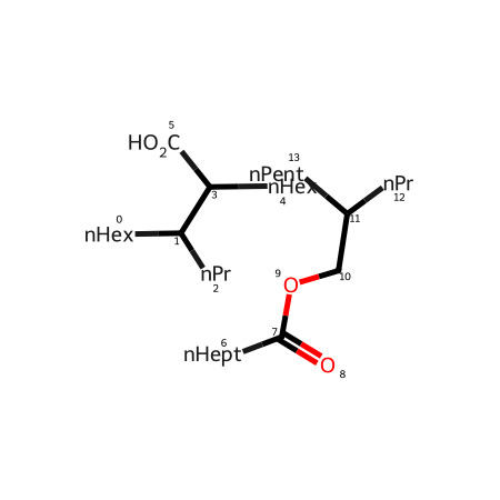 CCCCCCC(CCC)C(CCCCCC)C(=O)O.CCCCCCCC(=O)OCC(CCC)CCCCC